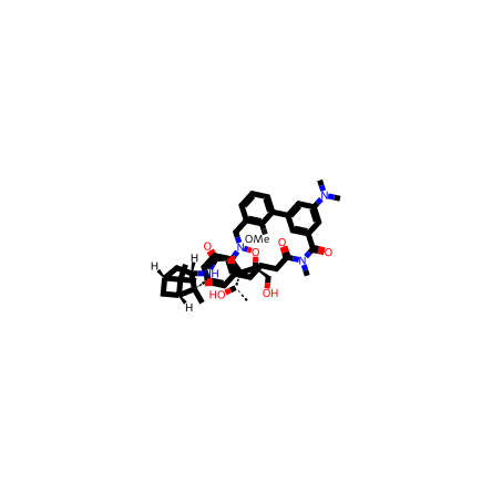 COc1c(CN2O[C@@H](CO)[C@H]([C@H](C)O)[C@H]2C(=O)N[C@H]2C[C@H]3C[C@@H]([C@@H]2C)C3(C)C)cccc1-c1cc(C(=O)N(C)C(=O)CCCc2ccccc2)cc(N(C)C)c1